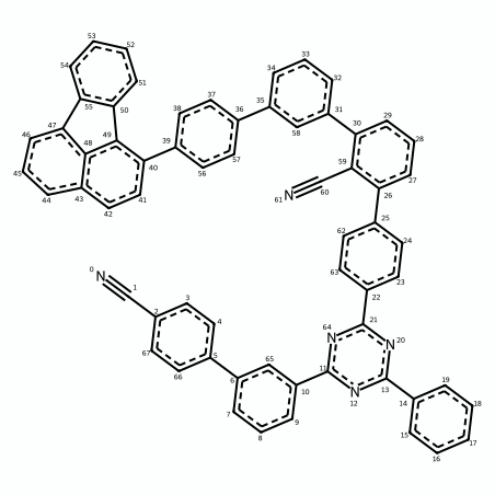 N#Cc1ccc(-c2cccc(-c3nc(-c4ccccc4)nc(-c4ccc(-c5cccc(-c6cccc(-c7ccc(-c8ccc9cccc%10c9c8-c8ccccc8-%10)cc7)c6)c5C#N)cc4)n3)c2)cc1